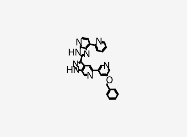 c1ccc(COc2cncc(-c3cc4c(-c5nc6c(-c7ccccn7)ccnc6[nH]5)n[nH]c4cn3)c2)cc1